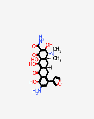 CN(C)[C@@H]1C(O)=C(C(N)=O)C(=O)[C@]2(O)C(O)=C3C(=O)c4c(O)c(N)cc(-c5ccoc5)c4C[C@@H]3C[C@H]12